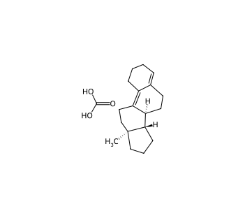 C[C@@]12CCC[C@H]1[C@@H]1CCC3=CCCCC3=C1CC2.O=C(O)O